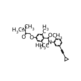 Cc1ccc(C#CC2CC2)cc1N(C)C(=O)c1c(C)cc(OCC(=O)N(C)C)cc1C